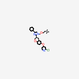 C[Si](C)(C)CCOCn1cc(-c2ccccc2)nc1C1COc2ccc(Oc3ccnc(Cl)c3)cc2C1